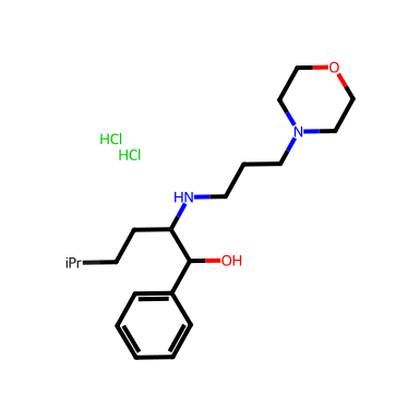 CC(C)CCC(NCCCN1CCOCC1)C(O)c1ccccc1.Cl.Cl